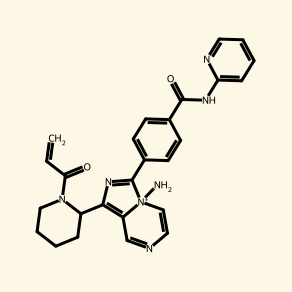 C=CC(=O)N1CCCCC1C1=C2C=NC=C[N+]2(N)C(c2ccc(C(=O)Nc3ccccn3)cc2)=N1